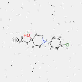 O=C(O)CC1(O)CCN(c2ccc(Cl)cc2)CC1